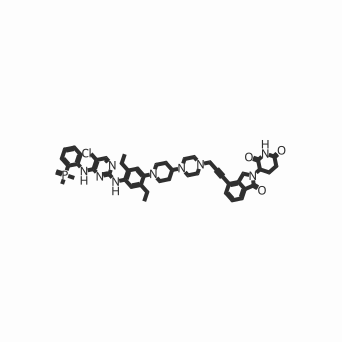 C=P(C)(C)c1ccccc1Nc1nc(Nc2cc(CC)c(N3CCC(N4CCN(CC#Cc5cccc6c5CN(C5CCC(=O)NC5=O)C6=O)CC4)CC3)cc2CC)ncc1Cl